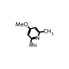 CCC(C)c1cc(OC)cc(C)n1